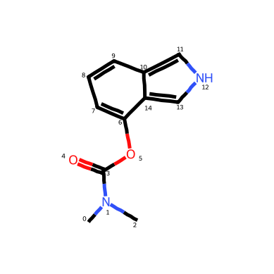 CN(C)C(=O)Oc1cccc2c[nH]cc12